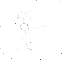 CCCOc1c(C2CCN(C(=O)O)CC2)ccc2c1CC[C@H](C)N2C(C)=O